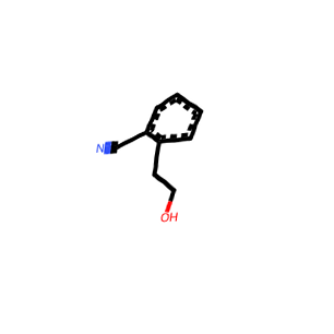 N#Cc1ccccc1CCO